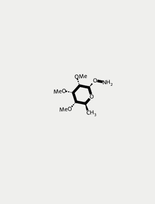 CO[C@@H]1[C@H](OC)[C@H](ON)O[C@@H](C)[C@@H]1OC